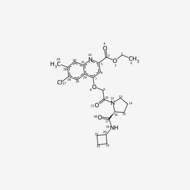 CCOC(=O)c1cc(OCC(=O)N2CCC[C@H]2C(=O)NC2CCC2)c2cc(Cl)c(C)cc2n1